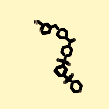 Nc1cc(CN2CCC(C(=O)N3CCN(S(=O)(=O)c4cccc(S(=O)(=O)N5CCOCC5)c4)CC3)CC2)ccn1